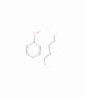 C/C=C/C=C/C(=O)[O-].O=COc1ccccc1.[K+]